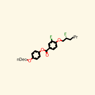 CCCCCCCCCCOc1ccc(OC(=O)c2ccc(OC[C@H](F)CC(C)C)c(F)c2)cc1